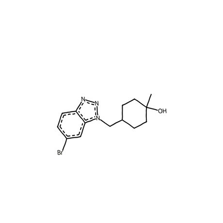 CC1(O)CCC(Cn2nnc3ccc(Br)cc32)CC1